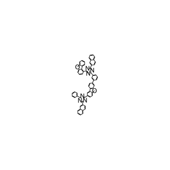 c1ccc(-c2nc(-c3ccc4ccccc4c3)nc(-c3ccc4oc5cc(-c6cccc(-c7nc(-c8ccc9ccccc9c8)nc(-c8cccc9oc%10ccccc%10c89)n7)c6)ccc5c4c3)n2)cc1